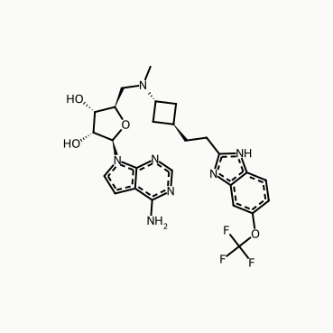 CN(C[C@H]1O[C@@H](n2ccc3c(N)ncnc32)[C@H](O)[C@@H]1O)[C@H]1C[C@H](CCc2nc3cc(OC(F)(F)F)ccc3[nH]2)C1